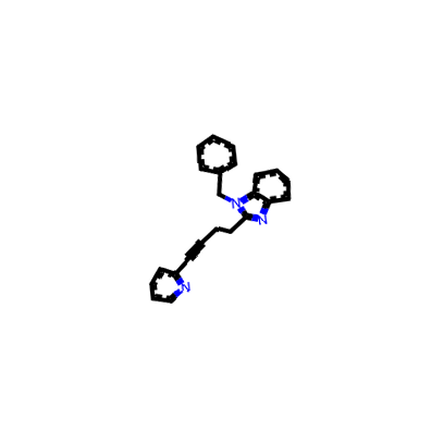 C(#Cc1ccccn1)CCc1nc2ccccc2n1Cc1ccccc1